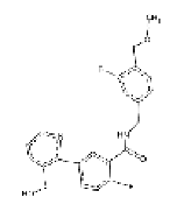 COCc1ccc(CNC(=O)c2cc(-c3ncccc3CO)ccc2F)cc1F